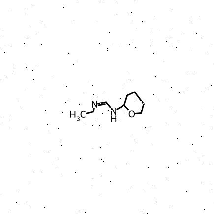 CC/N=C\NC1CCCCO1